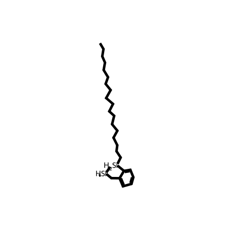 CCCCCCCCCCCCCCCCCC[SiH2]c1ccccc1C[SiH](C)C